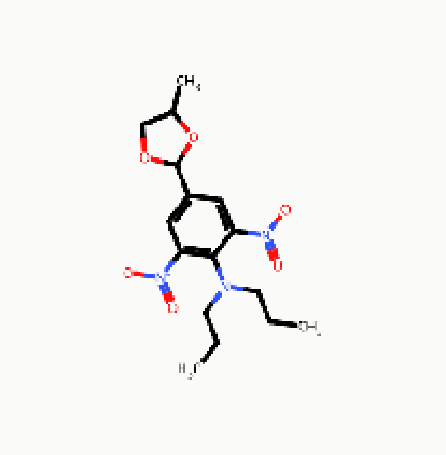 CCCN(CCC)c1c([N+](=O)[O-])cc(C2OCC(C)O2)cc1[N+](=O)[O-]